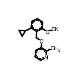 Cc1ncccc1OCc1c(OC#N)cccc1C1CC1